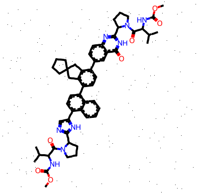 COC(=O)NC(C(=O)N1CCCC1c1ncc(-c2ccc(-c3ccc(-c4ccc5nc(C6CCCN6C(=O)C(NC(=O)OC)C(C)C)[nH]c(=O)c5c4)c4c3CC3(CCCC3)C4)c3ccccc23)[nH]1)C(C)C